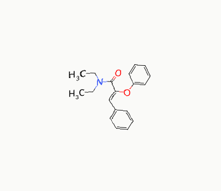 CCN(CC)C(=O)C(=Cc1ccccc1)Oc1ccccc1